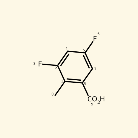 [CH2]c1c(F)cc(F)cc1C(=O)O